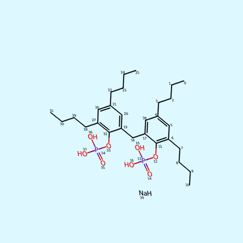 CCCCc1cc(CCCC)c(OP(=O)(O)O)c(Cc2cc(CCCC)cc(CCCC)c2OP(=O)(O)O)c1.[NaH]